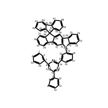 c1ccc(-c2nc(-c3ccccc3)nc(-c3cccc(-n4c5ccccc5c5cc6c(cc54)-c4ccccc4C64c5ccccc5-c5ccccc54)c3)n2)cc1